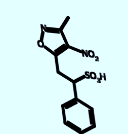 Cc1noc(CC(c2ccccc2)S(=O)(=O)O)c1[N+](=O)[O-]